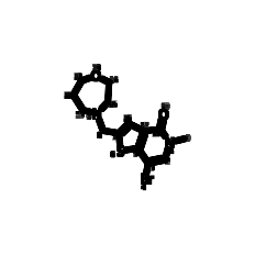 Cn1cc(Br)c2sc(CN3CCCOCC3)cc2c1=O